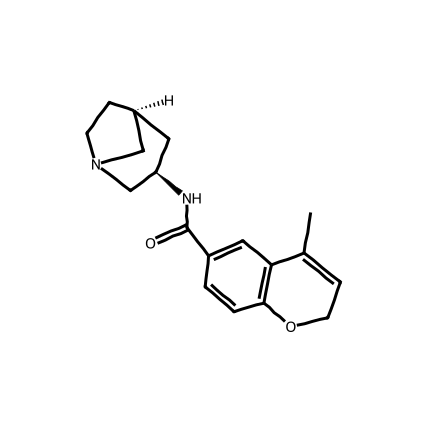 CC1=CCOc2ccc(C(=O)N[C@@H]3C[C@@H]4CCN(C4)C3)cc21